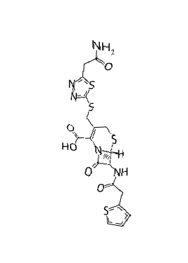 NC(=O)Cc1nnc(SCC2=C(C(=O)O)N3C(=O)C(NC(=O)Cc4cccs4)[C@H]3SC2)s1